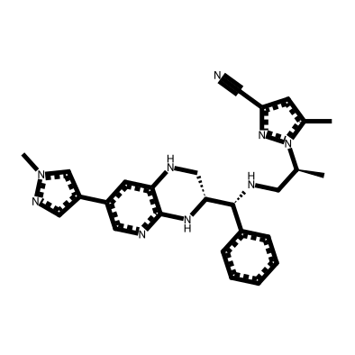 Cc1cc(C#N)nn1[C@@H](C)CN[C@H](c1ccccc1)[C@H]1CNc2cc(-c3cnn(C)c3)cnc2N1